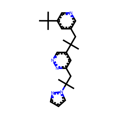 CC(C)(C)c1cncc(CC(C)(C)c2cnnc(CC(C)(C)n3cccn3)c2)c1